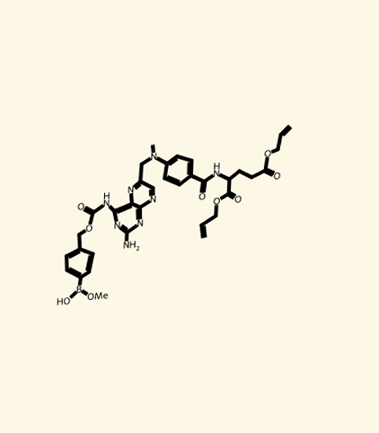 C=CCOC(=O)CCC(NC(=O)c1ccc(N(C)Cc2cnc3nc(N)nc(NC(=O)OCc4ccc(B(O)OC)cc4)c3n2)cc1)C(=O)OCC=C